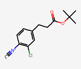 [C-]#[N+]c1ccc(CCC(=O)OC(C)(C)C)cc1Cl